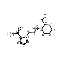 NC(=O)c1n[c]cn1CCN[C@@H]1CCCC[C@@H]1CO